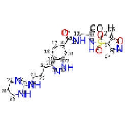 Cc1noc(C)c1S(=O)(=O)NC(CNC(=O)c1ccc2c(CCCNC3N=CCCN3)n[nH]c2c1)C(=O)O